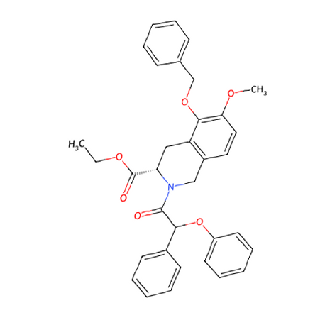 CCOC(=O)[C@@H]1Cc2c(ccc(OC)c2OCc2ccccc2)CN1C(=O)C(Oc1ccccc1)c1ccccc1